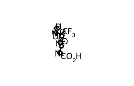 O=C(O)c1cncc(-c2ccc3c(=O)n(-c4ccc(OC(F)(F)F)c(NC(=O)C5(N6CCOCC6)CC5)c4)cnc3c2)c1